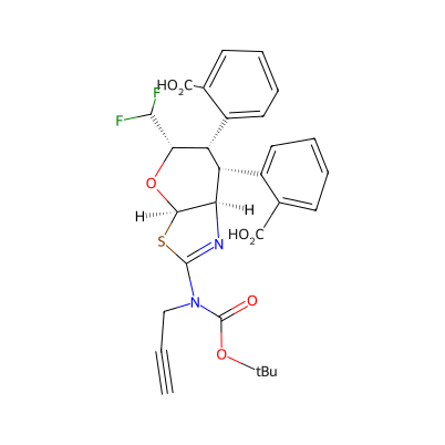 C#CCN(C(=O)OC(C)(C)C)C1=N[C@@H]2[C@@H](c3ccccc3C(=O)O)[C@@H](c3ccccc3C(=O)O)[C@@H](C(F)F)O[C@@H]2S1